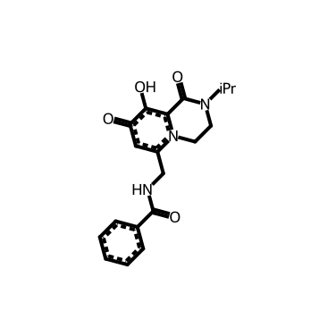 CC(C)N1CCn2c(CNC(=O)c3ccccc3)cc(=O)c(O)c2C1=O